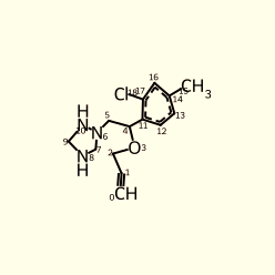 C#CCOC(CN1CNCN1)c1ccc(C)cc1Cl